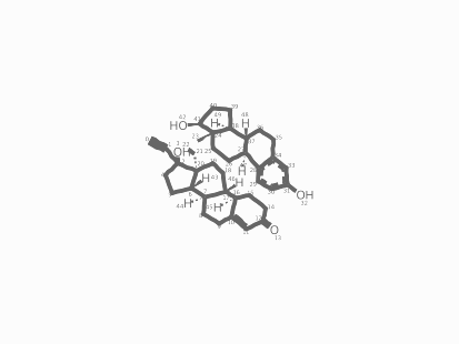 C#CC1(O)CC[C@H]2[C@@H]3CCC4=CC(=O)CC[C@@H]4[C@H]3CC[C@@]21CC.C[C@]12CC[C@@H]3c4ccc(O)cc4CC[C@H]3[C@@H]1CC[C@@H]2O